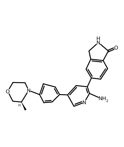 C[C@H]1COCCN1c1ccc(-c2cnc(N)c(-c3ccc4c(c3)CNC4=O)c2)cc1